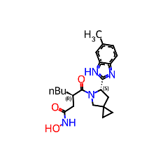 CCCC[C@H](CC(=O)NO)C(=O)N1CC2(CC2)C[C@H]1c1nc2ccc(C)cc2[nH]1